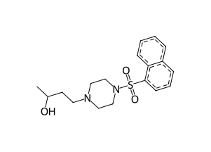 CC(O)CCN1CCN(S(=O)(=O)c2cccc3ccccc23)CC1